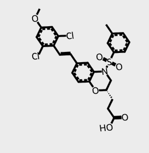 COc1cc(Cl)c(/C=C/c2ccc3c(c2)N(S(=O)(=O)c2cccc(C)c2)C[C@H](CCC(=O)O)O3)c(Cl)c1